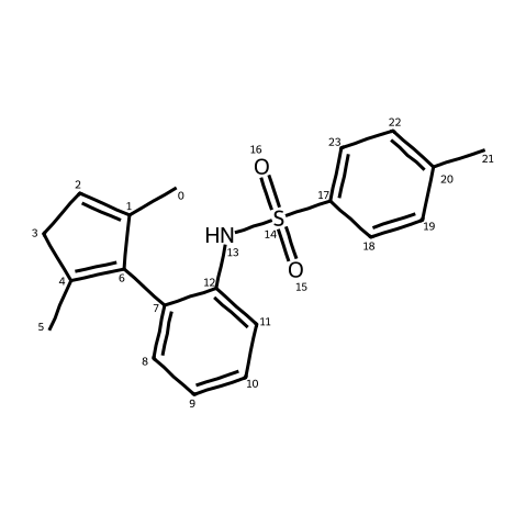 CC1=CCC(C)=C1c1ccccc1NS(=O)(=O)c1ccc(C)cc1